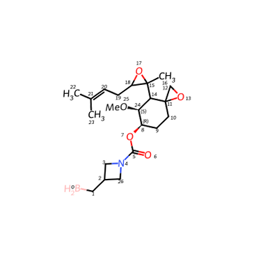 BCC1CN(C(=O)O[C@@H]2CCC3(CO3)C(C3(C)OC3CC=C(C)C)[C@@H]2OC)C1